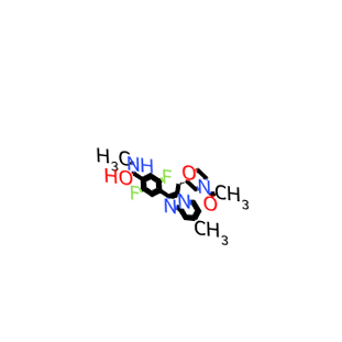 CNC(O)c1cc(F)c(-c2nc3cc(C)ccn3c2C[C@H]2CN(C(C)=O)CCO2)cc1F